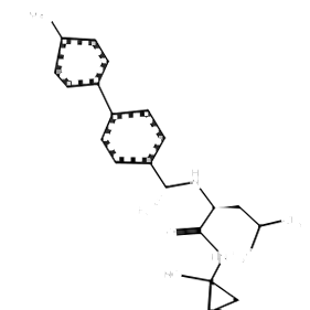 CSc1ccc(-c2ccc([C@H](N[C@@H](CC(C)C(F)(F)F)C(=O)NC3(C#N)CC3)C(F)(F)F)cc2)cc1